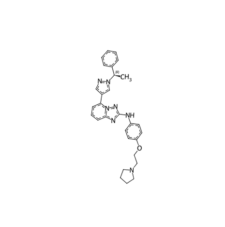 C[C@H](c1ccccc1)n1cc(-c2cccc3nc(Nc4ccc(OCCN5CCCC5)cc4)nn23)cn1